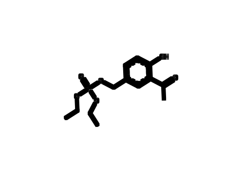 CCOP(=O)(OCC)OCc1ccc(O)c(C(C)=O)c1